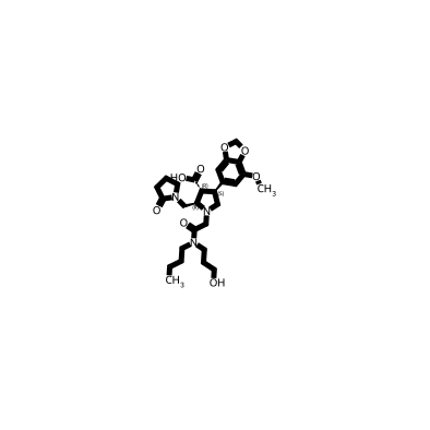 CCCCN(CCCO)C(=O)CN1C[C@H](c2cc(OC)c3c(c2)OCO3)[C@@H](C(=O)O)[C@@H]1CN1CCCC1=O